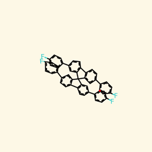 Fc1ccc(-c2ccc3c(c2)C2(c4cc(-c5ccc(F)cc5)ccc4-3)c3cc(-c4ccc(F)cc4)ccc3-c3ccc(-c4ccc(F)cc4)cc32)cc1